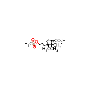 CC1(C)[C@@H](C(=O)O)CC[C@@]1(C)CCCOS(C)(=O)=O